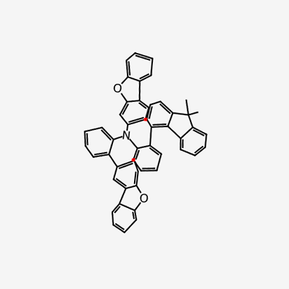 CC1(C)c2ccccc2-c2c(-c3ccccc3N(c3ccc4c(c3)oc3ccccc34)c3ccccc3-c3ccc4oc5ccccc5c4c3)cccc21